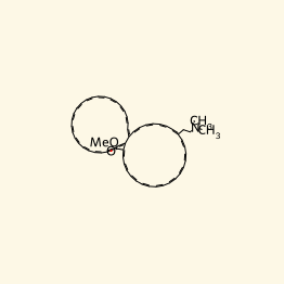 COC(=O)C1=CC=CC=CC=C\C=C/C=C\C=C/C=CC=CC(CCN(C)C)=CC=CC=CC=CC2=CC=CC=CC=CC=CC=CC=CC=CC=CC=CC=CC=CC=CC=C21